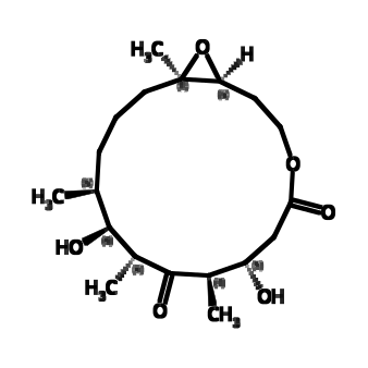 C[C@H]1CCC[C@@]2(C)O[C@H]2CCOC(=O)C[C@H](O)[C@@H](C)C(=O)[C@H](C)[C@H]1O